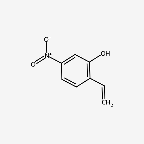 C=Cc1ccc([N+](=O)[O-])cc1O